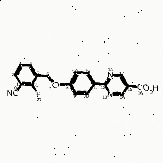 N#Cc1cccc(COc2ccc(-c3ncc(C(=O)O)cn3)cc2)c1F